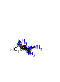 NCCCON=C(C(=O)NC1C(=O)N2CC(CSc3nnc(CN)s3)(C(=O)O)CS[C@H]12)c1csc(N)n1